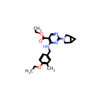 CCOC(=O)c1cnc(N2CC3CC3C2)nc1NCc1ccc(OCC)c(C)c1